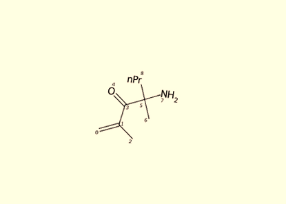 C=C(C)C(=O)C(C)(N)CCC